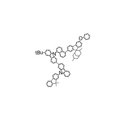 CC1CC2CC(C)C3(c4ccc(Oc5ccccc5)cc4-c4ccc(-c5cccc6c(-n7c8ccc(C(C)(C)C)cc8c8ccc(-c9ccc%10c%11ccccc%11n(-c%11ccc%12c(c%11)C(C)(C)c%11ccccc%11-%12)c%10c9)cc87)cccc56)cc43)C(C1)C2